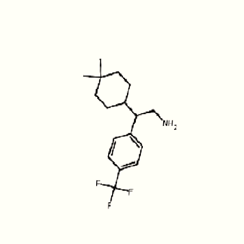 CC1(C)CCC([C@@H](CN)c2ccc(C(F)(F)F)cc2)CC1